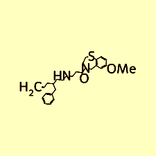 C=CCC(CCNCCC(=O)N1CCSc2ccc(OC)cc2C1)Cc1ccccc1